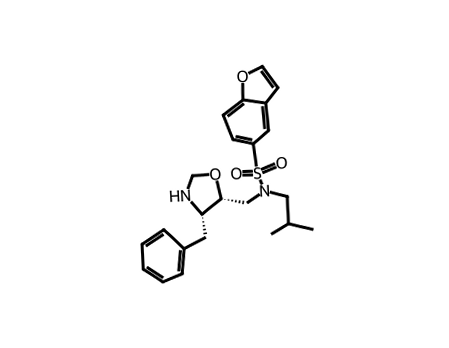 CC(C)CN(C[C@H]1OCN[C@H]1Cc1ccccc1)S(=O)(=O)c1ccc2occc2c1